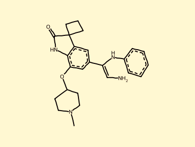 CN1CCC(Oc2cc(/C(=C/N)Nc3ccccc3)cc3c2NC(=O)C32CCC2)CC1